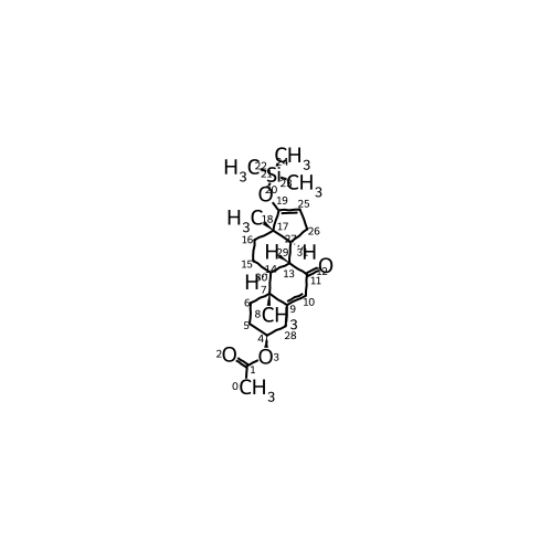 CC(=O)O[C@H]1CC[C@@]2(C)C(=CC(=O)[C@@H]3[C@@H]2CC[C@]2(C)C(O[Si](C)(C)C)=CC[C@@H]32)C1